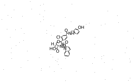 C[C@H](NN(C(=O)c1ccc2ccccc2n1)C(=O)c1ccc(C(=O)NCc2cccc(O)c2)cc1Cl)C(=O)O